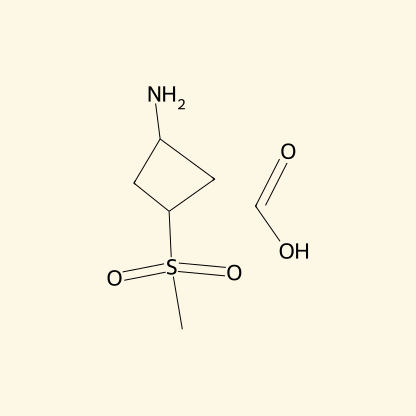 CS(=O)(=O)C1CC(N)C1.O=CO